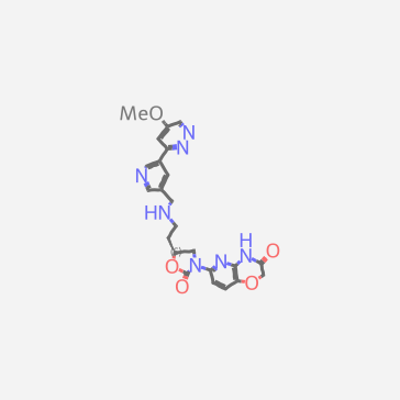 COc1cnnc(-c2cncc(CNCC[C@H]3CN(c4ccc5c(n4)NC(=O)CO5)C(=O)O3)c2)c1